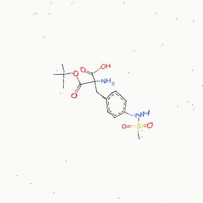 CC(C)(C)OC(=O)C(N)(Cc1ccc(NS(C)(=O)=O)cc1)C(=O)O